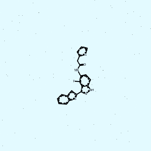 O=C(Cc1cccs1)Nc1ccc2[nH]nc(-c3cc4ccccc4s3)c2c1F